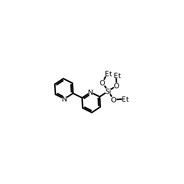 CCO[Si](OCC)(OCC)c1cccc(-c2ccccn2)n1